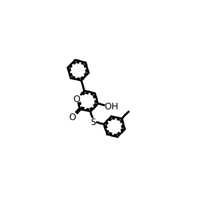 Cc1cccc(Sc2c(O)cc(-c3ccccc3)oc2=O)c1